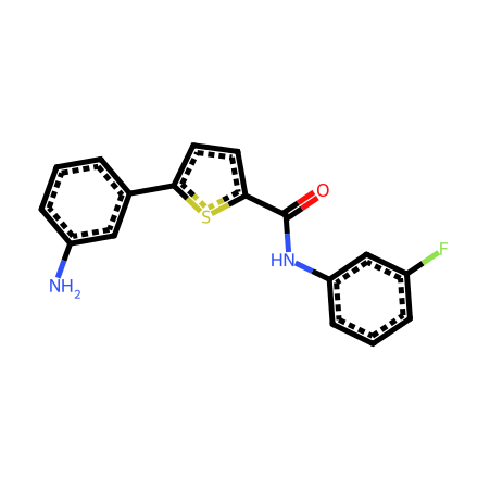 Nc1cccc(-c2ccc(C(=O)Nc3cccc(F)c3)s2)c1